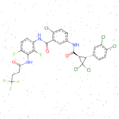 O=C(CCC(F)(F)F)Nc1c(F)ccc(NC(=O)c2cc(NC(=O)[C@H]3[C@H](c4ccc(Cl)c(Cl)c4)C3(Cl)Cl)ccc2Cl)c1F